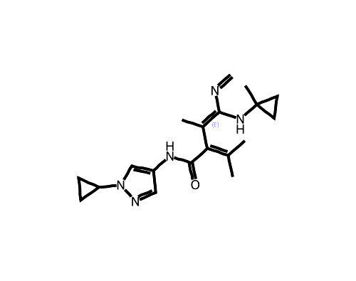 C=N/C(NC1(C)CC1)=C(\C)C(C(=O)Nc1cnn(C2CC2)c1)=C(C)C